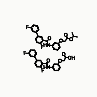 CC(C)OC(=O)COc1cccc(NC(=O)c2cc(-c3cccc(F)c3)ccc2F)c1.O=C(O)COc1cccc(NC(=O)c2cc(-c3cccc(F)c3)ccc2F)c1